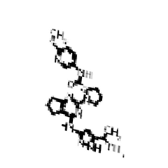 CSc1ccc(NC(=O)[C@@H]2CCCN2c2nc3c(c(Nc4cc(C(C)C)[nH]n4)n2)CCC3)cn1